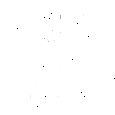 N=Cc1c(N)ncnc1-c1ccc2nc(NCc3ccccc3F)ncc2c1